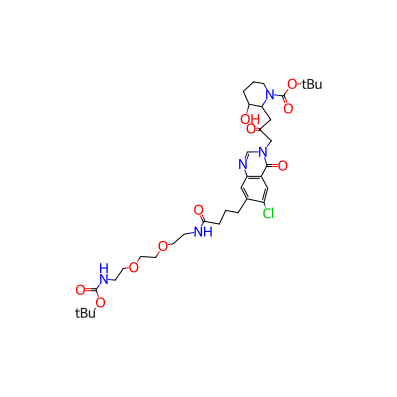 CC(C)(C)OC(=O)NCCOCCOCCNC(=O)CCCc1cc2ncn(CC(=O)CC3C(O)CCCN3C(=O)OC(C)(C)C)c(=O)c2cc1Cl